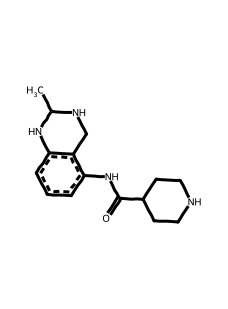 CC1NCc2c(NC(=O)C3CCNCC3)cccc2N1